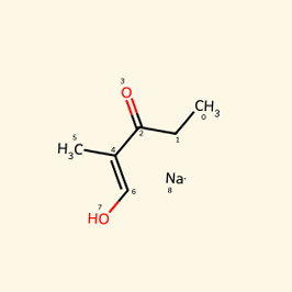 CCC(=O)C(C)=CO.[Na]